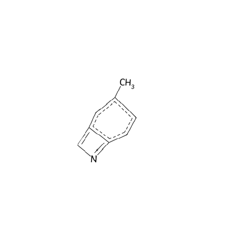 Cc1ccc2c(c1)=CN=2